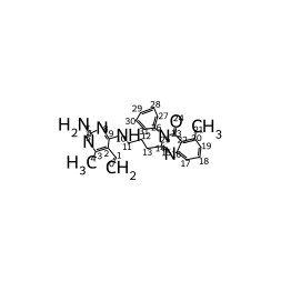 C=Cc1c(C)nc(N)nc1NCCCc1nc2cccc(C)c2c(=O)n1-c1ccccc1